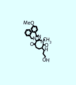 COc1ccc(-c2nc3c(n2Cc2ccccc2)C(=O)CCC(CCCO)C(O)N3C)cc1